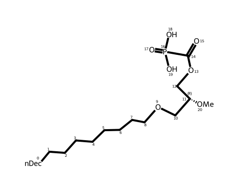 CCCCCCCCCCCCCCCCCCOC[C@H](COC(=O)P(=O)(O)O)OC